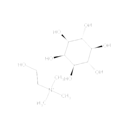 C[N+](C)(C)CCO.O[C@H]1[C@H](O)[C@@H](O)[C@H](O)[C@@H](O)[C@H]1O